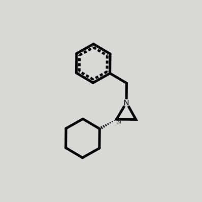 c1ccc(CN2C[C@@H]2C2CCCCC2)cc1